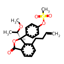 C=CCCc1cccc2c1[C@@](c1ccc(OS(C)(=O)=O)cc1)(C(C)OC)OC2=O